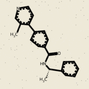 Cc1cnccc1-c1ccc(C(=O)N[C@@H](C)c2ccccc2)cc1